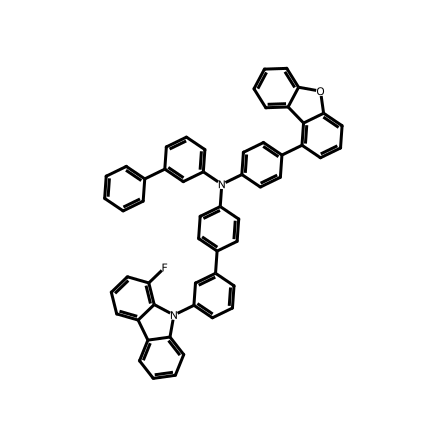 Fc1cccc2c3ccccc3n(-c3cccc(-c4ccc(N(c5ccc(-c6cccc7oc8ccccc8c67)cc5)c5cccc(-c6ccccc6)c5)cc4)c3)c12